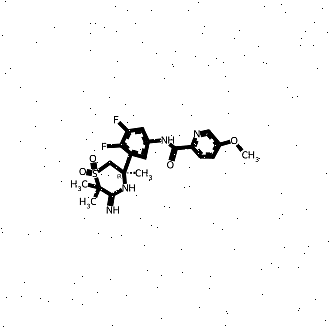 COc1ccc(C(=O)Nc2cc(F)c(F)c([C@]3(C)CS(=O)(=O)C(C)(C)C(=N)N3)c2)nc1